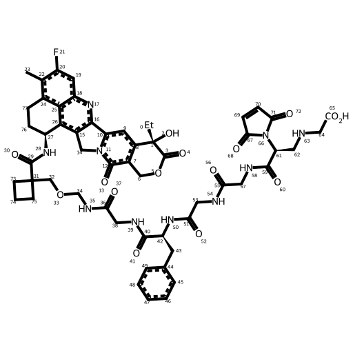 CC[C@@]1(O)C(=O)OCc2c1cc1n(c2=O)Cc2c-1nc1cc(F)c(C)c3c1c2[C@@H](NC(=O)C1(COCNC(=O)CNC(=O)[C@H](Cc2ccccc2)NC(=O)CNC(=O)CNC(=O)[C@H](CNCC(=O)O)N2C(=O)C=CC2=O)CCC1)CC3